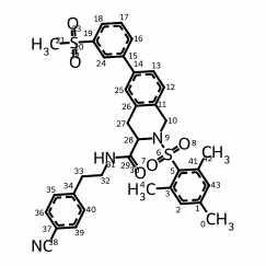 Cc1cc(C)c(S(=O)(=O)N2Cc3ccc(-c4cccc(S(C)(=O)=O)c4)cc3CC2C(=O)NCCc2ccc(C#N)cc2)c(C)c1